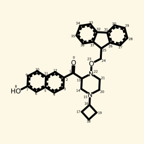 O=C(c1ccc2cc(O)ccc2c1)C1CN(C2CCC2)CCN1OCC1c2ccccc2-c2ccccc21